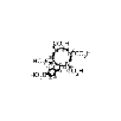 O=C(O)CN1CCCN(CC(=O)O)CCN(CC(=O)O)CC(Cc2ccc(C(=O)O)cc2)CN(CC(=O)O)CC1